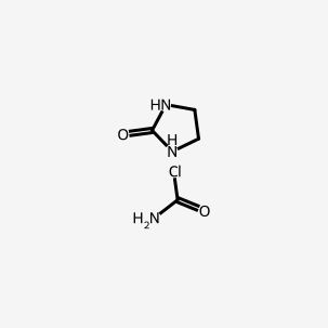 NC(=O)Cl.O=C1NCCN1